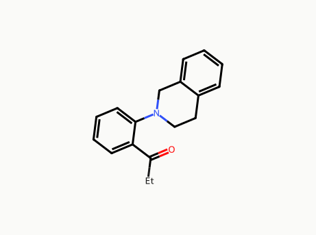 CCC(=O)c1ccccc1N1CCc2ccccc2C1